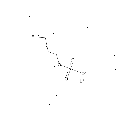 O=S(=O)([O-])OCCCF.[Li+]